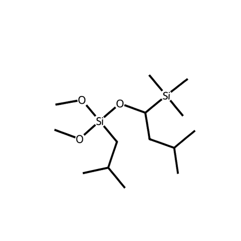 CO[Si](CC(C)C)(OC)OC(CC(C)C)[Si](C)(C)C